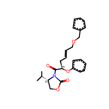 CC(C)[C@H]1COC(=O)N1C(=O)[C@@H](CC=CCOCc1ccccc1)Oc1ccccc1